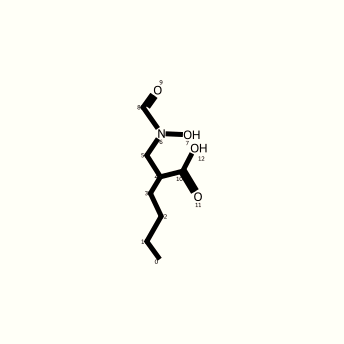 CCCCC(CN(O)C=O)C(=O)O